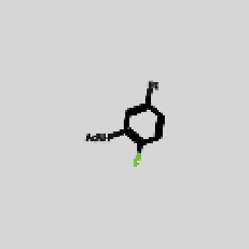 CCc1ccc(F)c(NC(C)=O)c1